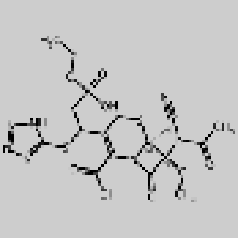 CCOP(=O)(O)CC(Sc1nnn[nH]1)C1=C(C(=O)O)N2C(=O)[C@@](OC)(N(C#N)C(C)=O)[C@@H]2SC1